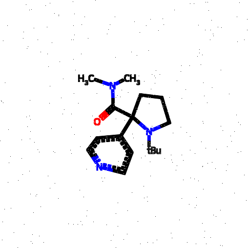 CN(C)C(=O)C1(c2ccncc2)CCCN1C(C)(C)C